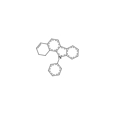 C1=Cc2ccc3c4ccccc4n(-c4ccccc4)c3c2CC1